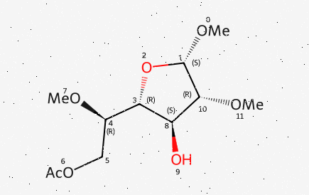 CO[C@H]1O[C@@H]([C@@H](COC(C)=O)OC)[C@H](O)[C@H]1OC